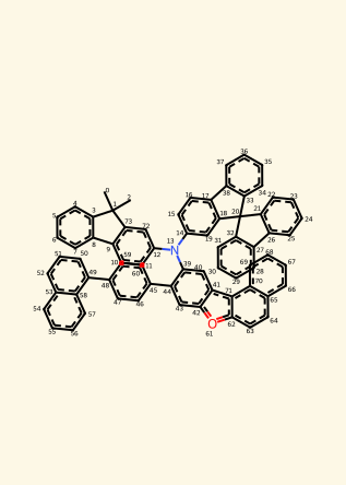 CC1(C)c2ccccc2-c2ccc(N(c3ccc4c(c3)C3(c5ccccc5-c5ccccc53)c3ccccc3-4)c3cc4c(cc3-c3ccc(-c5cccc6ccccc56)cc3)oc3ccc5ccccc5c34)cc21